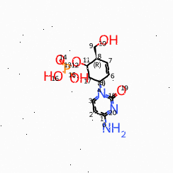 Nc1ccn([C@@H]2C=C[C@H](CO)C(OP(=O)(O)O)C2)c(=O)n1